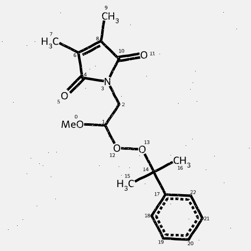 COC(CN1C(=O)C(C)=C(C)C1=O)OOC(C)(C)c1ccccc1